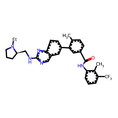 CCN1CCC[C@@H]1CNc1ncc2cc(-c3cc(C(=O)Nc4cccc(C(F)(F)F)c4C)ccc3C)ccc2n1